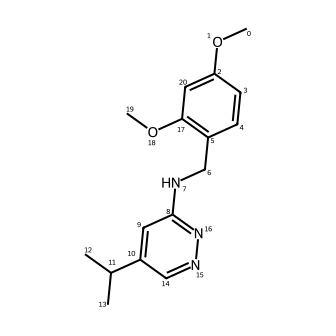 COc1ccc(CNc2cc(C(C)C)cnn2)c(OC)c1